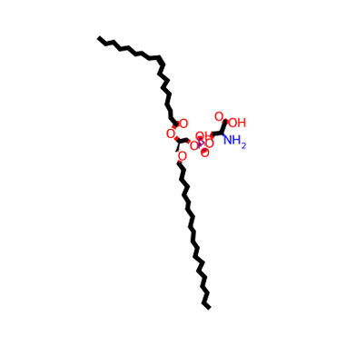 CCCCCCCC/C=C\CCCCCCCC(=O)O[C@H](COCCCCCCCCCCCCCCCCCCCC)COP(=O)(O)OC[C@H](N)C(=O)O